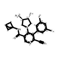 N#Cc1ncc(C(=O)NC23CC(C2)C3)c(N2C[C@@H](N)[C@H](F)C2)c1-c1cc(F)cc(F)c1